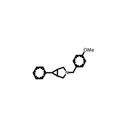 COc1ccc(CN2CC3C(C2)C3c2ccccc2)cc1